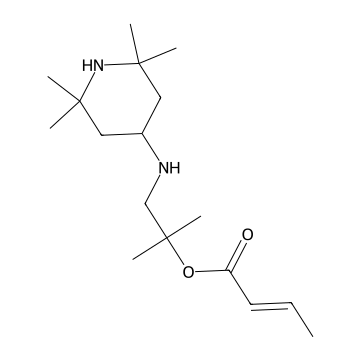 C/C=C/C(=O)OC(C)(C)CNC1CC(C)(C)NC(C)(C)C1